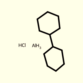 C1CCC(C2CCCCC2)CC1.Cl.[AlH3]